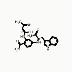 CC(=N)/C=C(\S)Nc1cc(N[C@H](Cc2c[nH]c3ccccc23)C(N)=O)ccc1C(N)=O